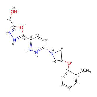 Cc1ccccc1OC1CN(c2ccc(-c3nnc(CO)o3)nn2)C1